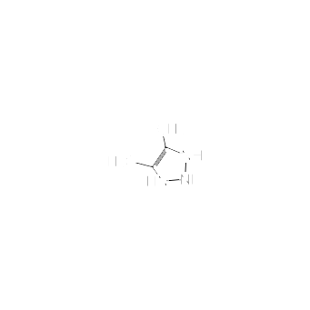 CC1=C(C)NNN1